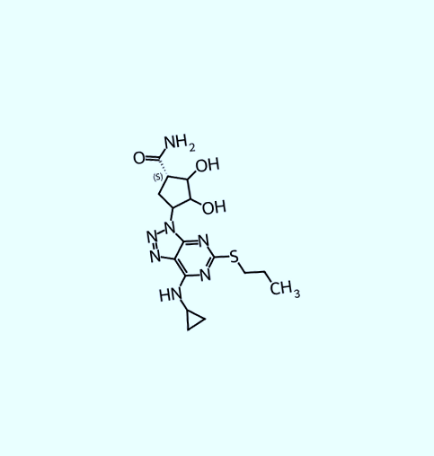 CCCSc1nc(NC2CC2)c2nnn(C3C[C@H](C(N)=O)C(O)C3O)c2n1